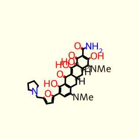 CNc1cc(-c2ccc(CN3CCCC3)o2)c(O)c2c1C[C@H]1C[C@H]3[C@H](NC)C(O)=C(C(N)=O)C(=O)[C@@]3(O)C(O)=C1C2=O